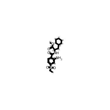 CCS(=O)(=O)c1ccc(C(=O)NC(CC2CCCCC2)C(=O)OC)c(N)c1